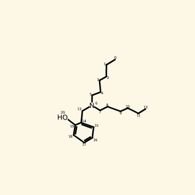 CCCCCCN(CCCCCC)Cc1ccccc1O